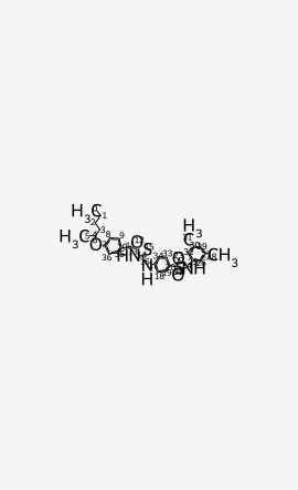 CCCCC(C)Oc1ccc(C(=O)NC(=S)Nc2ccc(S(=O)(=O)Nc3cc(C)cc(C)c3)cc2)cc1